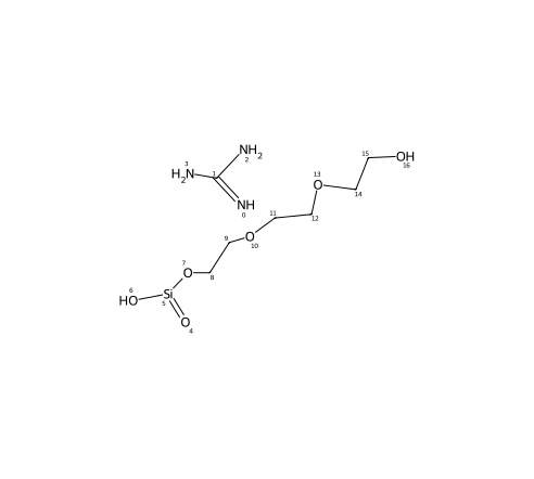 N=C(N)N.O=[Si](O)OCCOCCOCCO